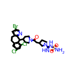 N=C(NS(N)(=O)=O)N1CCC(CC(=O)N2CCC(C3c4ncc(Br)cc4CCc4cc(Cl)cc(Cl)c43)CC2)C1